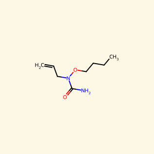 C=CCN(OCCCC)C(N)=O